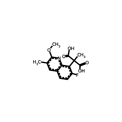 COc1nc2c(C(C)(C(=O)O)C(=O)O)c(F)ccc2cc1C